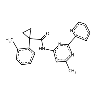 Cc1nc(NC(=O)C2(c3ccccc3C)CC2)nc(-c2ccccn2)n1